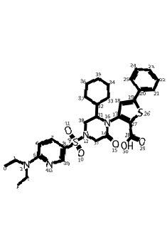 CCN(CC)c1ccc(S(=O)(=O)N2CC(=O)N(c3cc(-c4ccccc4)sc3C(=O)O)C(C3CCCCC3)C2)cn1